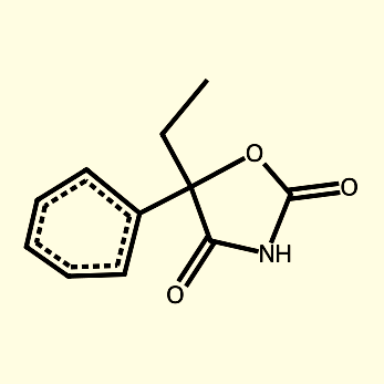 CCC1(c2ccccc2)OC(=O)NC1=O